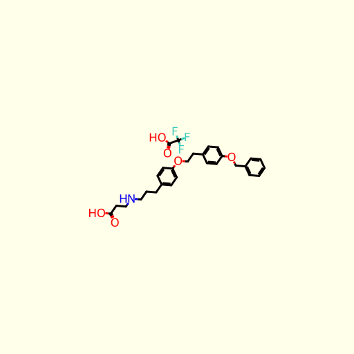 O=C(O)C(F)(F)F.O=C(O)CCNCCCc1ccc(OCCc2ccc(OCc3ccccc3)cc2)cc1